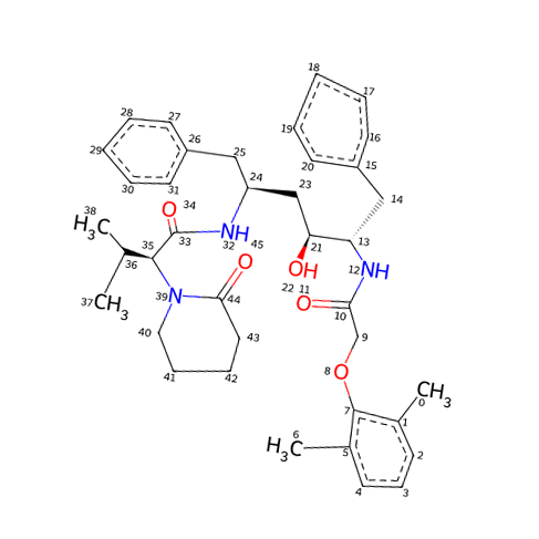 Cc1cccc(C)c1OCC(=O)N[C@@H](Cc1ccccc1)[C@@H](O)C[C@H](Cc1ccccc1)NC(=O)[C@H](C(C)C)N1CCCCC1=O